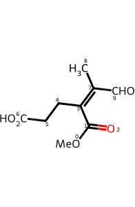 COC(=O)/C(CCC(=O)O)=C(/C)C=O